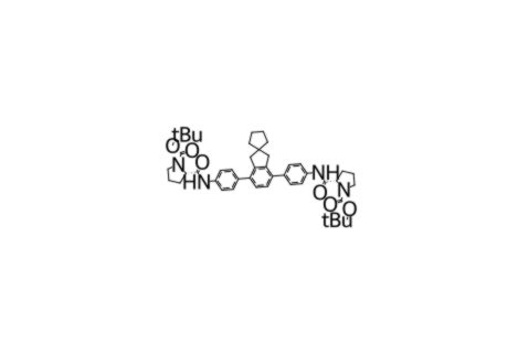 CC(C)(C)OC(=O)N1CCC[C@H]1C(=O)Nc1ccc(-c2ccc(-c3ccc(NC(=O)[C@@H]4CCCN4C(=O)OC(C)(C)C)cc3)c3c2CC2(CCCC2)C3)cc1